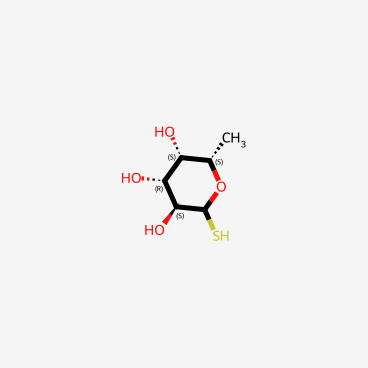 C[C@@H]1OC(S)[C@@H](O)[C@H](O)[C@@H]1O